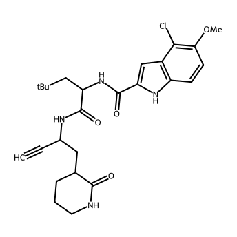 C#CC(CC1CCCNC1=O)NC(=O)C(CC(C)(C)C)NC(=O)c1cc2c(Cl)c(OC)ccc2[nH]1